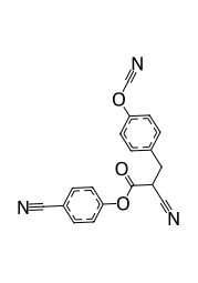 N#COc1ccc(CC(C#N)C(=O)Oc2ccc(C#N)cc2)cc1